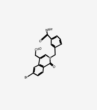 CNC(=O)c1cccc(Cn2cc(CC=O)c3cc(Br)ccc3c2=O)c1